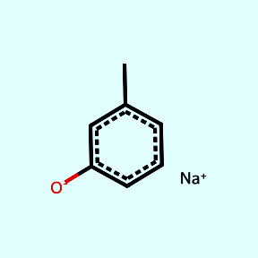 Cc1cccc([O-])c1.[Na+]